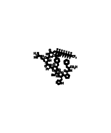 CC[C@H](C)[C@H](NC(=O)[C@H](Cc1ccc(O)cc1)NC(=O)[C@@H](NC(=O)[C@H](CCCNC(=N)N)NC(=O)[C@H](CC(=O)O)NC(=O)CCC(F)(F)C(F)(F)C(F)(F)C(F)(F)C(F)(F)C(F)(F)C(F)(F)C(F)(F)F)C(C)C)C(=O)N[C@@H](Cc1cnc[nH]1)C(=O)N1CCC[C@H]1C(=O)N[C@@H](Cc1ccccc1)C(=O)O